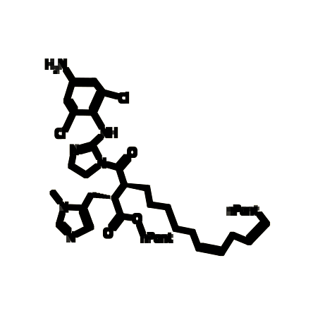 CCCCC/C=C\C/C=C\CCCCC[C@H](C(=O)N1CCN=C1Nc1c(Cl)cc(N)cc1Cl)[C@@H](Cc1cncn1C)C(=O)OCCCCC